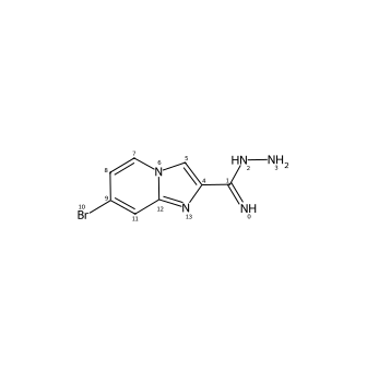 N=C(NN)c1cn2ccc(Br)cc2n1